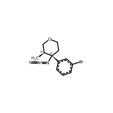 C[C@H]1COCC[C@@]1(N=[N+]=[N-])c1cccc(Br)c1